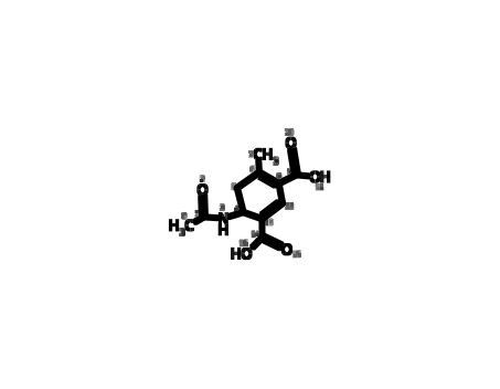 CC(=O)NC1CC(C)=C(C(=O)O)C=C1C(=O)O